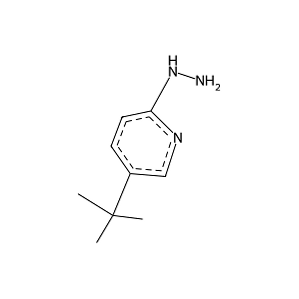 CC(C)(C)c1ccc(NN)nc1